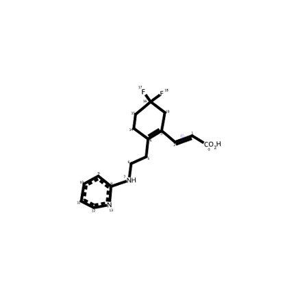 O=C(O)/C=C/C1=C(CCNc2ccccn2)CCC(F)(F)C1